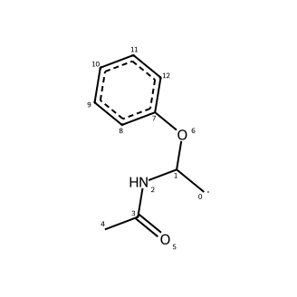 [CH2]C(NC(C)=O)Oc1ccccc1